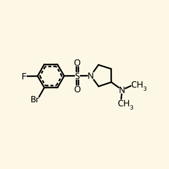 CN(C)C1CCN(S(=O)(=O)c2ccc(F)c(Br)c2)C1